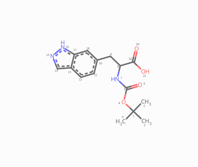 CC(C)(C)OC(=O)NC(Cc1ccc2cn[nH]c2c1)C(=O)O